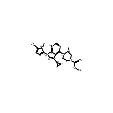 C[C@H]1CN(C(=O)OC(C)(C)C)CCN1c1ncnc2c1c(C1CC1)cn2-c1ccc(C#N)n1C